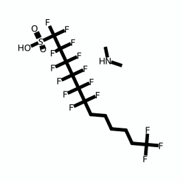 CNC.O=S(=O)(O)C(F)(F)C(F)(F)C(F)(F)C(F)(F)C(F)(F)C(F)(F)CCCCCC(F)(F)F